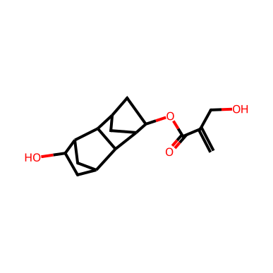 C=C(CO)C(=O)OC1CC2CC1C1C3CC(O)C(C3)C21